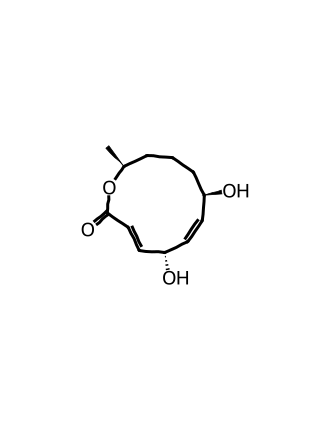 C[C@H]1CCC[C@@H](O)/C=C\[C@H](O)/C=C/C(=O)O1